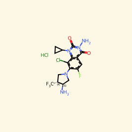 Cl.N[C@@H]1CN(c2c(F)cc3c(=O)n(N)c(=O)n(C4CC4)c3c2Cl)C[C@H]1C(F)(F)F